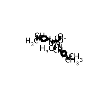 CC(=O)[O-].CC(C)c1n(/N=C/c2ccc(N(C)C)cc2)cc[n+]1/N=C/c1ccc(N(C)C)cc1